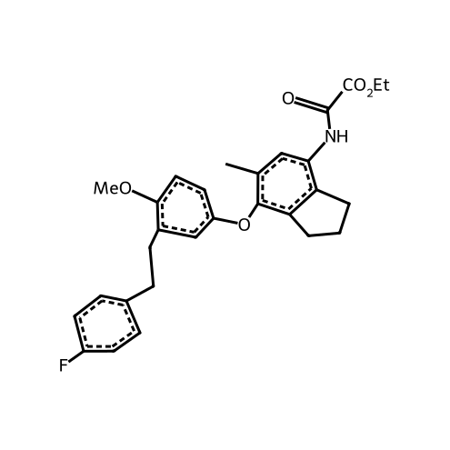 CCOC(=O)C(=O)Nc1cc(C)c(Oc2ccc(OC)c(CCc3ccc(F)cc3)c2)c2c1CCC2